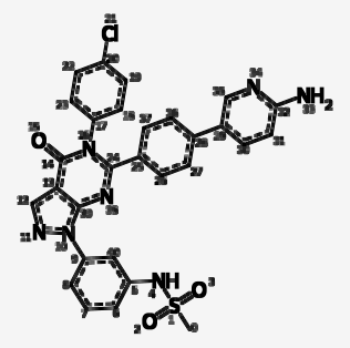 CS(=O)(=O)Nc1cccc(-n2ncc3c(=O)n(-c4ccc(Cl)cc4)c(-c4ccc(-c5ccc(N)nc5)cc4)nc32)c1